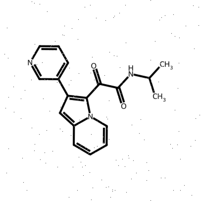 CC(C)NC(=O)C(=O)c1c(-c2cccnc2)cc2ccccn12